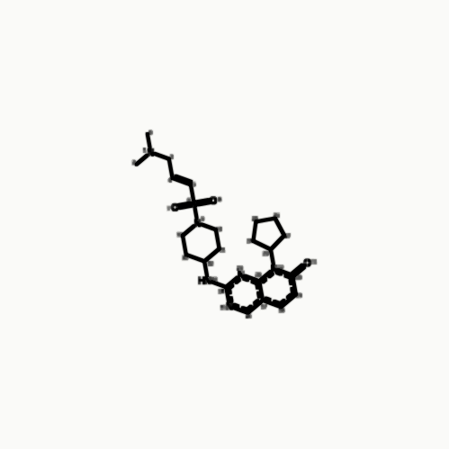 CN(C)C/C=C/S(=O)(=O)N1CCC(Nc2ncc3ccc(=O)n(C4CCCC4)c3n2)CC1